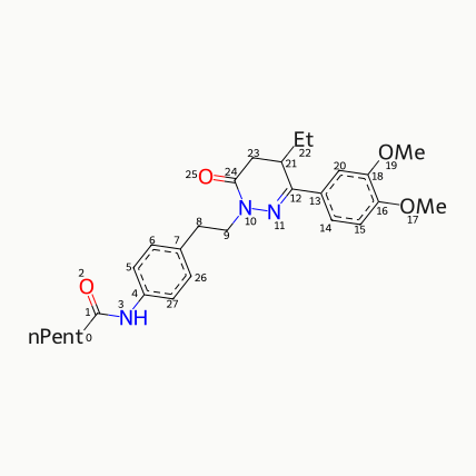 CCCCCC(=O)Nc1ccc(CCN2N=C(c3ccc(OC)c(OC)c3)C(CC)CC2=O)cc1